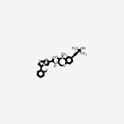 CN1C(=O)[C@@H](NC(=O)c2cn3c(-c4ccccc4F)csc3n2)COc2ccc(C#CC(C)(C)O)cc21